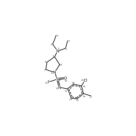 CCN(CC)C1CCN(S(=O)(F)=Nc2ccc(C)c(Cl)c2)C1